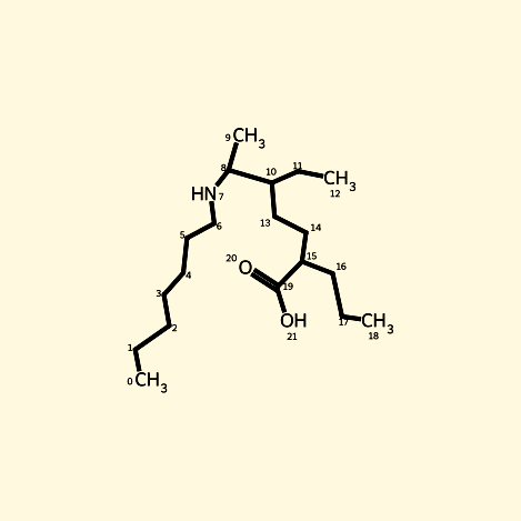 CCCCCCCNC(C)C(CC)CCC(CCC)C(=O)O